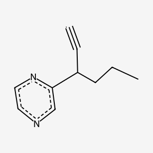 [C]#CC(CCC)c1cnccn1